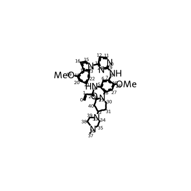 C=CC(=O)Nc1cc(Nc2nccc(-n3ccc4c(OC)cccc43)n2)c(OC)cc1N1CCC(N2CCN(C)CC2)CC1